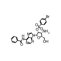 N[C@H]1[C@@H](OS(=O)(=O)c2ccc(Br)cc2)[C@H](n2cnc3c(NC(=O)c4ccccc4)ncnc32)O[C@@H]1CO